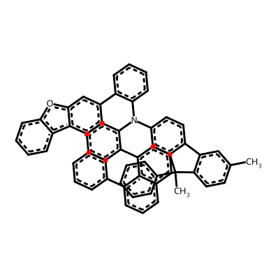 Cc1ccc2c(c1)-c1ccc(N(c3ccccc3-c3ccc4c(c3)oc3ccccc34)c3ccccc3-c3cccc4cccc(-c5ccccc5)c34)cc1C2(C)c1ccccc1